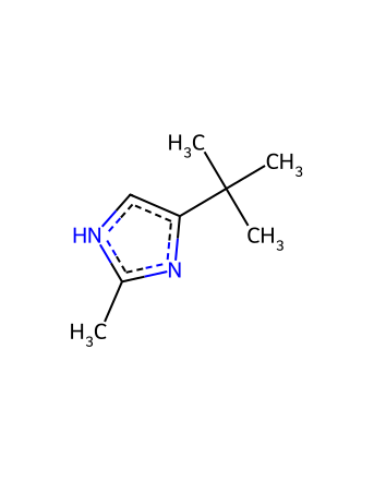 Cc1nc(C(C)(C)C)c[nH]1